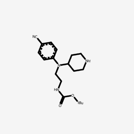 CC(C)(C)OC(=O)NCCN(c1ccc(C#N)cc1)C1CCNCC1